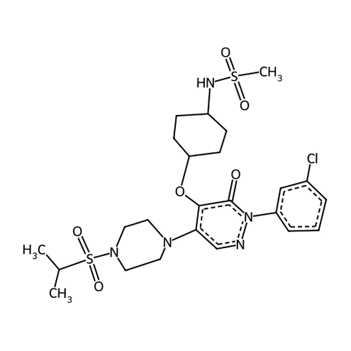 CC(C)S(=O)(=O)N1CCN(c2cnn(-c3cccc(Cl)c3)c(=O)c2OC2CCC(NS(C)(=O)=O)CC2)CC1